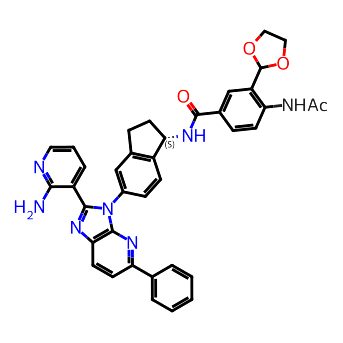 CC(=O)Nc1ccc(C(=O)N[C@H]2CCc3cc(-n4c(-c5cccnc5N)nc5ccc(-c6ccccc6)nc54)ccc32)cc1C1OCCO1